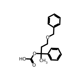 CC(CCOCc1ccccc1)(OC(=O)O)c1ccccc1